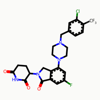 O=C1CCC(N2Cc3c(cc(F)cc3N3CCN(Cc4ccc(C(F)(F)F)c(Cl)c4)CC3)C2=O)C(=O)N1